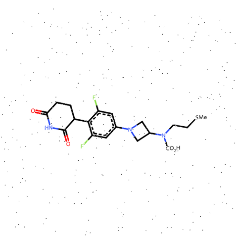 CSCCN(C(=O)O)C1CN(c2cc(F)c(C3CCC(=O)NC3=O)c(F)c2)C1